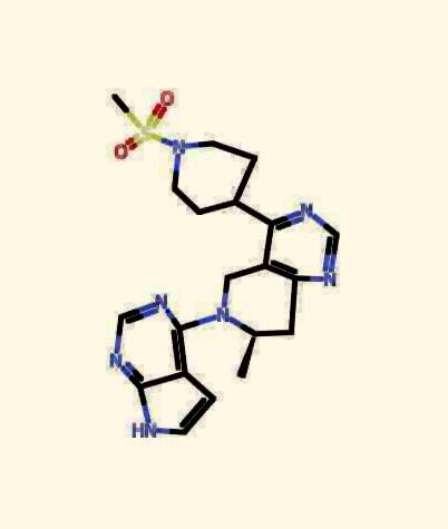 C[C@@H]1Cc2ncnc(C3CCN(S(C)(=O)=O)CC3)c2CN1c1ncnc2[nH]ccc12